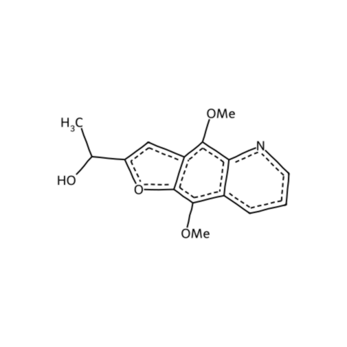 COc1c2cc(C(C)O)oc2c(OC)c2cccnc12